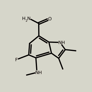 CNc1c(F)cc(C(N)=O)c2[nH]c(C)c(C)c12